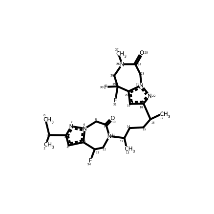 CC(C)c1cc2n(n1)CC(=O)N(C(C)CCC(C)c1cc3n(n1)CC(=O)N(C)CC3(F)F)CC2F